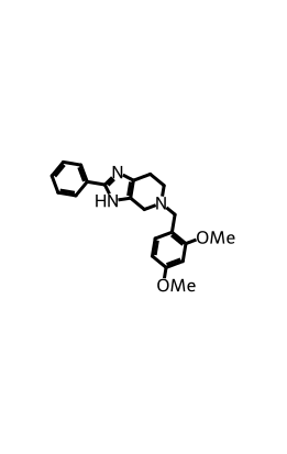 COc1ccc(CN2CCc3nc(-c4ccccc4)[nH]c3C2)c(OC)c1